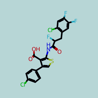 O=C(O)c1c(-c2ccc(Cl)cc2)csc1NC(=O)C(F)Cc1cc(F)c(F)cc1Cl